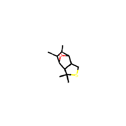 CC1C(C)C2OC1C1CSC(C)(C)C12